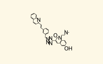 CN(C)CCn1c(=O)c(-c2nnn(Cc3cccc(C=Cc4ccc5ccccc5n4)c3)n2)cc2cc(O)ccc21